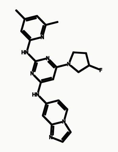 Cc1cc(C)nc(Nc2nc(Nc3ccn4ccnc4c3)cc(N3CCC(F)C3)n2)c1